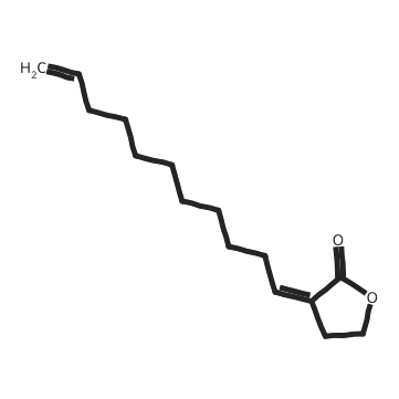 C=CCCCCCCCCC=C1CCOC1=O